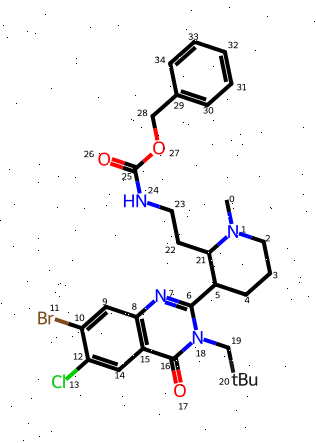 CN1CCCC(c2nc3cc(Br)c(Cl)cc3c(=O)n2CC(C)(C)C)C1CCNC(=O)OCc1ccccc1